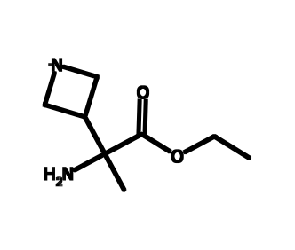 CCOC(=O)C(C)(N)C1C[N]C1